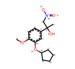 COc1ccc(C(C)(O)C[N+](=O)[O-])cc1OC1CCCC1